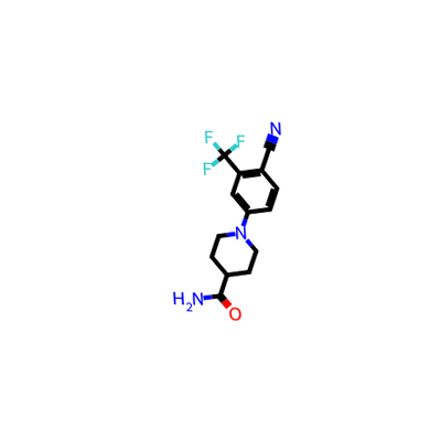 N#Cc1ccc(N2CCC(C(N)=O)CC2)cc1C(F)(F)F